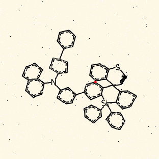 c1ccc(-c2ccc(N(c3cccc(-c4ccc5c(c4)[Si](c4ccccc4)(c4ccccc4)c4ccccc4C54c5ccccc5Sc5ccccc54)c3)c3cccc4ccccc34)cc2)cc1